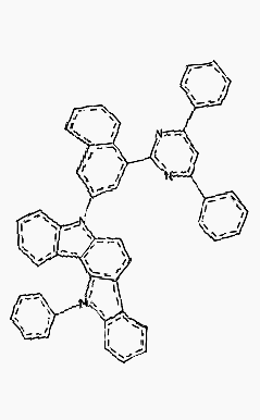 c1ccc(-c2cc(-c3ccccc3)nc(-c3cc(-n4c5ccccc5c5c4ccc4c6ccccc6n(-c6ccccc6)c45)cc4ccccc34)n2)cc1